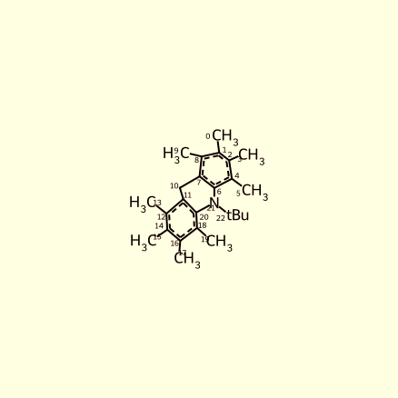 Cc1c(C)c(C)c2c(c1C)Cc1c(C)c(C)c(C)c(C)c1N2C(C)(C)C